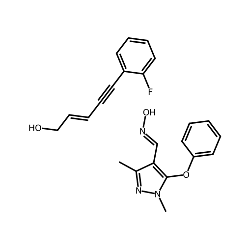 Cc1nn(C)c(Oc2ccccc2)c1C=NO.OCC=CC#Cc1ccccc1F